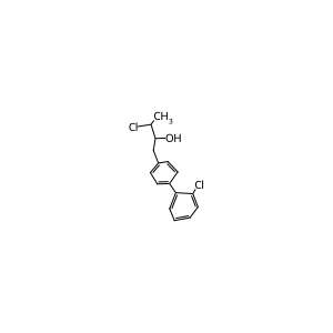 CC(Cl)C(O)Cc1ccc(-c2ccccc2Cl)cc1